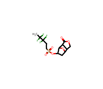 CC(F)(F)C(F)(F)CCS(=O)(=O)OC1CC2OC1C1C(=O)OCC21